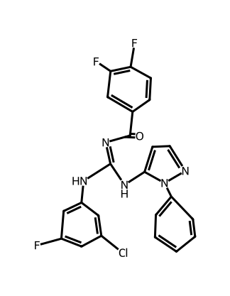 O=C(/N=C(/Nc1cc(F)cc(Cl)c1)Nc1ccnn1-c1ccccc1)c1ccc(F)c(F)c1